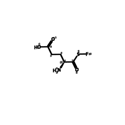 N[C@@H](CCC(=O)O)C(=O)SF